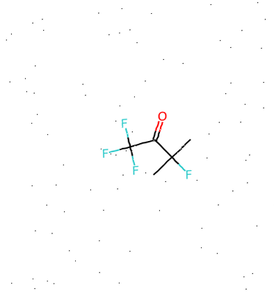 CC(C)(F)C(=O)C(F)(F)F